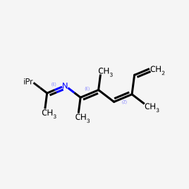 C=C\C(C)=C/C(C)=C(C)/N=C(\C)C(C)C